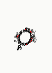 CC[C@H](C)[C@@H]1NC(=O)[C@H](CC(C)C)N(C)C(=O)C[C@@H](C)N(C)C(=O)[C@H](C(C)C)N(C)C(=O)C2(CC2)NC(=O)[C@@H]2CCCN2C(=O)[C@H](CCc2ccc(C(F)(F)F)c(Cl)c2)NC(=O)CN(C)C(=O)[C@H](CC2CCCCC2)N(C)C(=O)CN(C)C(=O)CN(C)C1=O